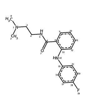 CN(C)CCNC(=O)c1ccccc1Nc1ccc(F)cc1